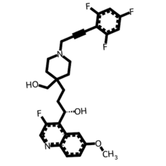 COc1ccc2ncc(F)c([C@@H](O)CCC3(CO)CCN(CC#Cc4c(F)cc(F)cc4F)CC3)c2c1